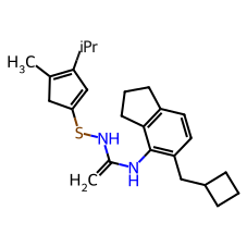 C=C(NSC1=CC(C(C)C)=C(C)C1)Nc1c(CC2CCC2)ccc2c1CCC2